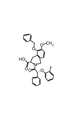 COc1ccc2c(c1OCc1ccccc1)C[C@H](C(=O)O)N(C(=O)[C@H](Oc1ccccc1F)c1ccccc1)C2